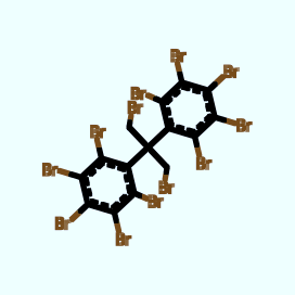 BrCC(CBr)(c1c(Br)c(Br)c(Br)c(Br)c1Br)c1c(Br)c(Br)c(Br)c(Br)c1Br